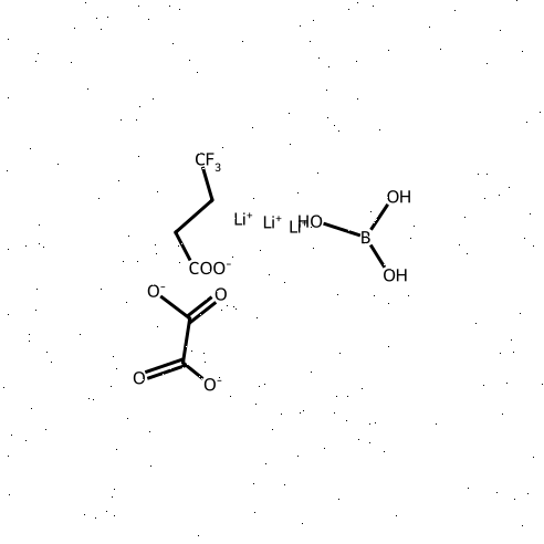 O=C([O-])C(=O)[O-].O=C([O-])CCC(F)(F)F.OB(O)O.[Li+].[Li+].[Li+]